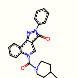 CC1CCN(C(=O)n2cc3c(=O)n(-c4ccccc4)nc-3c3ccccc32)CC1